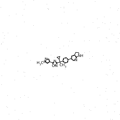 Cn1cc(-c2nc(C(C)(c3ccc(-c4cnc5c(c4)CCN5)cc3)C3CC3)no2)cn1